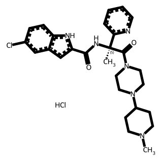 CN1CCC(N2CCN(C(=O)[C@@](C)(NC(=O)c3cc4cc(Cl)ccc4[nH]3)c3ccccn3)CC2)CC1.Cl